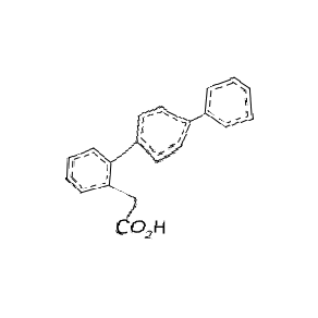 O=C(O)Cc1ccccc1-c1ccc(-c2ccccc2)cc1